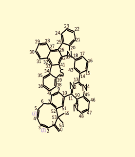 C=C1/C=C\C=C/Cc2ccc(-c3nc(-c4cccc(-n5c6ccccc6c6c7ccccc7c7c8ccccc8sc7c65)c4)nc4cccnc34)cc2C1(C)C